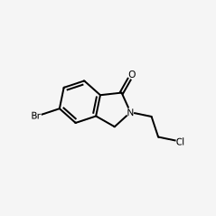 O=C1c2ccc(Br)cc2CN1CCCl